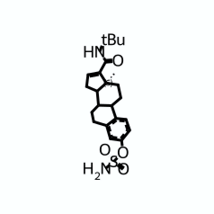 CC(C)(C)NC(=O)C1=CCC2C3CCc4cc(OS(N)(=O)=O)ccc4C3CC[C@]12C